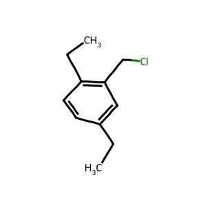 CCc1ccc(CC)c(CCl)c1